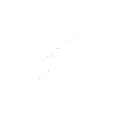 CCCCCN1CCC(OC)CC1